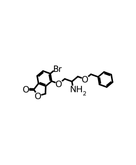 NC(COCc1ccccc1)COc1c(Br)ccc2c1COC2=O